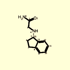 NC(=O)CN[C@H]1CCc2ccccc21